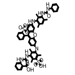 Cc1cc(C)c(Nc2ccc3c(-c4ccccc4S(=O)(=O)O)c4cc/c(=N\c5c(C)c(NC(=O)Nc6ccccc6C(=O)O)c(C)c(S(=O)(=O)O)c5C)cc-4oc3c2)c(C)c1NC(=O)Nc1ccccc1